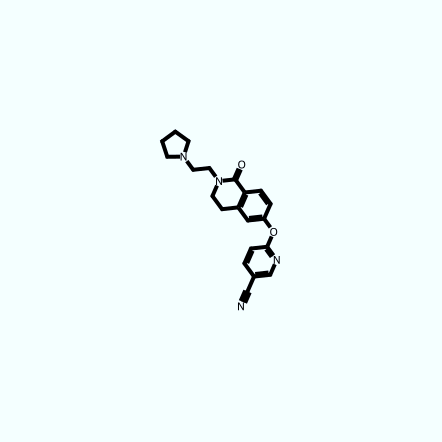 N#Cc1ccc(Oc2ccc3c(c2)CCN(CCN2CCCC2)C3=O)nc1